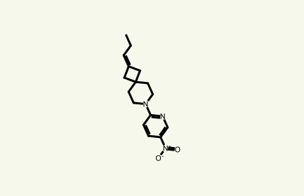 CCC=C1CC2(CCN(c3ccc([N+](=O)[O-])cn3)CC2)C1